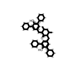 CC1CC(C)C(Cc2cc(C3CCCCC3)c(O)c(C3CCCCC3)c2)C(=O)C1Cc1cc(C2CCCCC2)c(O)c(C2CCCCC2)c1